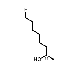 C[C@@H](O)CCCCCCF